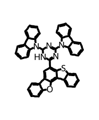 c1ccc2c(c1)oc1c2cc(C2=NC(n3c4ccccc4c4ccccc43)=NC(n3c4ccccc4c4ccccc43)N2)c2sc3ccccc3c21